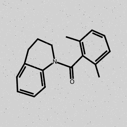 Cc1cccc(C)c1C(=O)N1CCCc2ccccc21